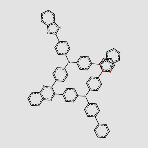 c1ccc(-c2ccc(N(c3ccc(-c4nc5ccccc5o4)cc3)c3ccc(-c4nc5ccccc5nc4-c4ccc(N(c5ccc(-c6ccccc6)cc5)c5ccc(-c6nc7ccccc7o6)cc5)cc4)cc3)cc2)cc1